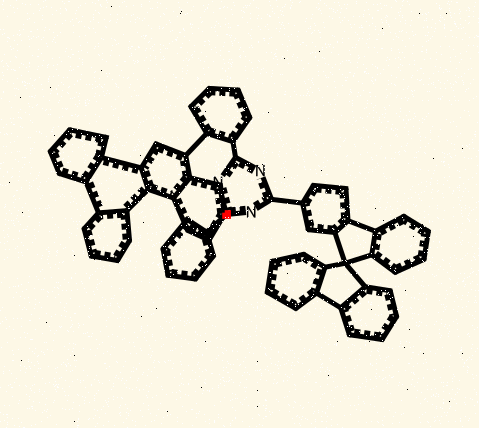 c1ccc(-c2nc(-c3ccc4c(c3)C3(c5ccccc5-c5ccccc53)c3ccccc3-4)nc(-c3ccccc3-c3cc4c5ccccc5c5ccccc5c4c4ccccc34)n2)cc1